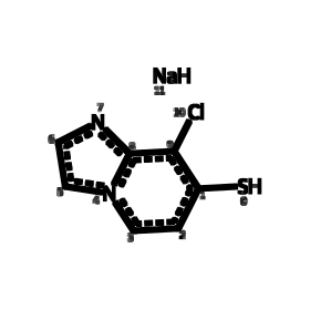 Sc1ccn2ccnc2c1Cl.[NaH]